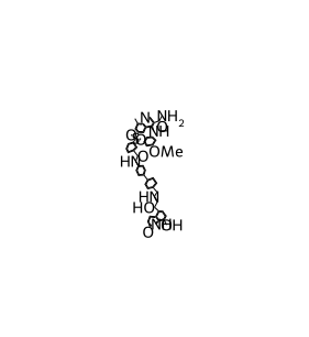 COc1cccc(Nc2c(C(N)=O)cnc3c(C)cc(S(=O)(=O)c4cccc(C(=O)Nc5ccc(-c6ccc(CNCC(O)c7ccc(O)c8[nH]c(=O)ccc78)cc6)cc5)c4)cc23)c1